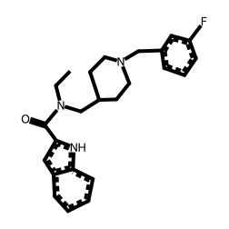 CCN(CC1CCN(Cc2cccc(F)c2)CC1)C(=O)c1cc2ccccc2[nH]1